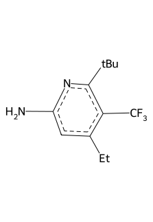 CCc1cc(N)nc(C(C)(C)C)c1C(F)(F)F